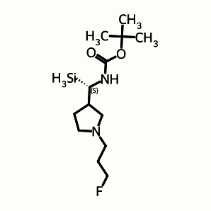 CC(C)(C)OC(=O)N[C@@H]([SiH3])C1CCN(CCCF)C1